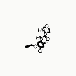 C#CCOc1cc(NC(=O)N2CCOCN2)c(F)cc1Cl